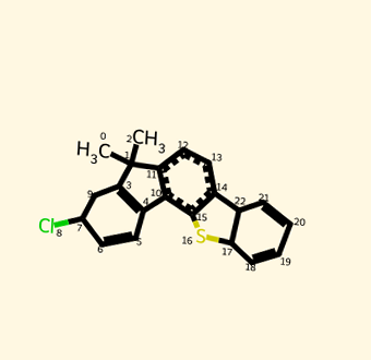 CC1(C)C2=C(C=CC(Cl)C2)c2c1ccc1c2SC2C=CC=CC12